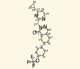 O=c1c2cc(-c3ccc(OC(F)(F)F)cc3)ccc2cnn1Cc1nccc(C2CC2)n1